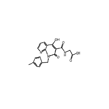 Cc1ccc(Cn2c(=O)c(C(=O)NCC(=O)O)c(O)c3cccnc32)cc1